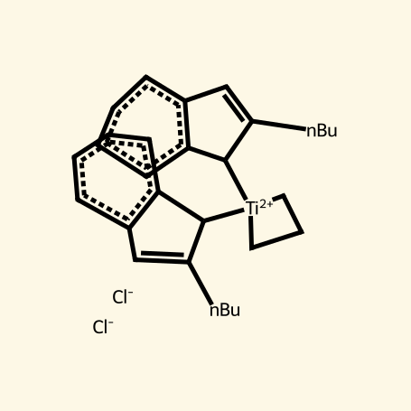 CCCCC1=Cc2ccccc2[CH]1[Ti+2]1([CH]2C(CCCC)=Cc3ccccc32)[CH2]C[CH2]1.[Cl-].[Cl-]